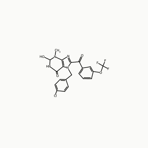 CN1c2nc(C(=O)c3cccc(OC(F)(F)F)c3)n(Cc3ccc(Cl)cc3)c2C(=O)NC1O